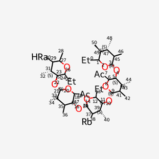 CCC1O[C@H](O[C@@H]2C(C(C)=O)O[C@@H](O[C@@H]3C(CC)O[C@@H](O[C@H]4C(C(C)=O)O[C@@H](O[C@@H]5C(CC)OC(C)[CH]([RaH])[C@H]5C)[C@@H](C)C4C)[CH]([Rb])[C@H]3C)C(C)[C@H]2C)C(C)[C@@H](C)[C@@H]1C